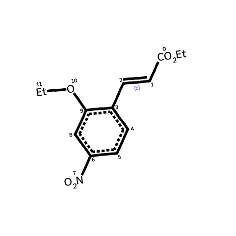 CCOC(=O)/C=C/c1ccc([N+](=O)[O-])cc1OCC